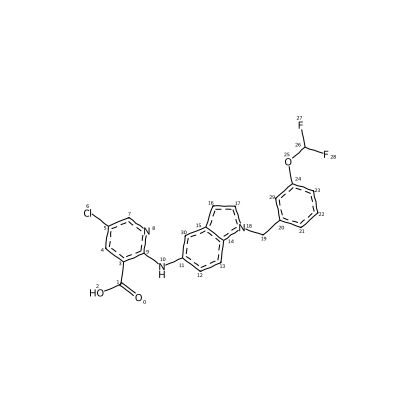 O=C(O)c1cc(Cl)cnc1Nc1ccc2c(ccn2Cc2cccc(OC(F)F)c2)c1